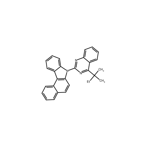 CCC(C)(C)c1nc(-n2c3ccccc3c3c4ccccc4ccc32)nc2ccccc12